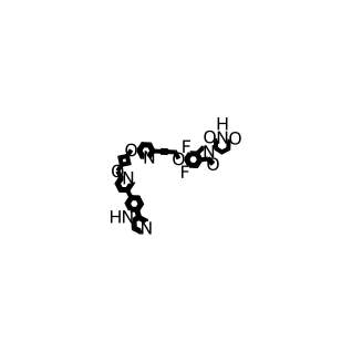 O=C1CCC(N2Cc3c(cc(F)c(OCC#Cc4ccc(OC5CC(Oc6ccc(-c7ccc8c(c7)[nH]c7ccncc78)cn6)C5)cn4)c3F)C2=O)C(=O)N1